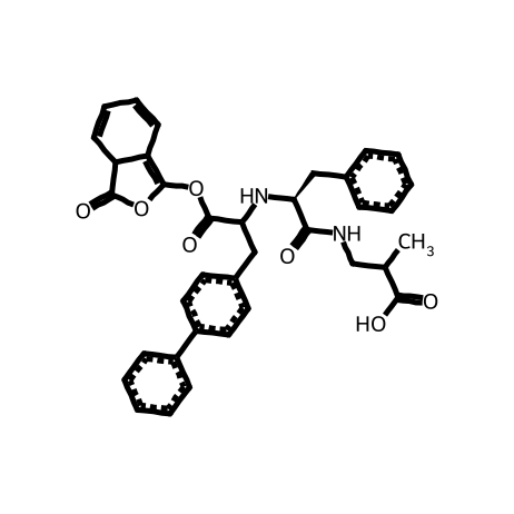 CC(CNC(=O)[C@H](Cc1ccccc1)NC(Cc1ccc(-c2ccccc2)cc1)C(=O)OC1=C2C=CC=CC2C(=O)O1)C(=O)O